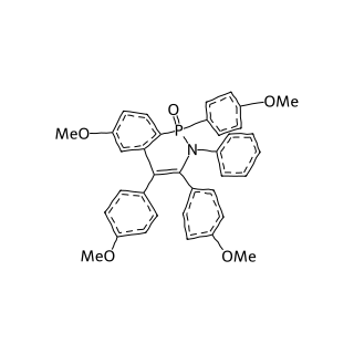 COc1ccc(C2=C(c3ccc(OC)cc3)N(c3ccccc3)P(=O)(c3ccc(OC)cc3)c3ccc(OC)cc32)cc1